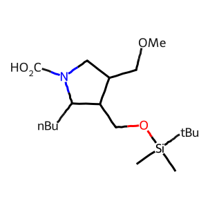 CCCCC1C(CO[Si](C)(C)C(C)(C)C)C(COC)CN1C(=O)O